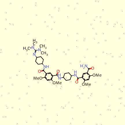 COc1cc(OC)c(C(=O)NC2CCC(NC(=O)c3cc(C(=O)NC4CCC(N=C(N(C)C)N(C)C)CC4)c(OC)cc3OC)CC2)cc1C(N)=O